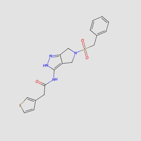 O=C(Cc1ccsc1)Nc1[nH]nc2c1CN(S(=O)(=O)Cc1ccccc1)C2